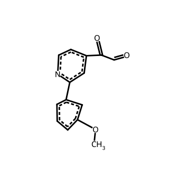 COc1cccc(-c2cc(C(=O)C=O)ccn2)c1